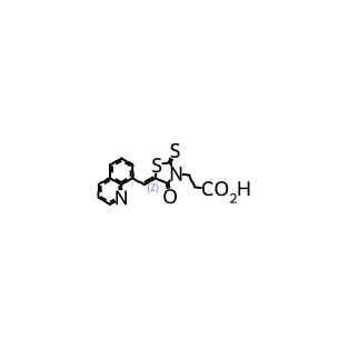 O=C(O)CCN1C(=O)/C(=C/c2cccc3cccnc23)SC1=S